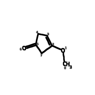 COC1=CCC(=O)C1